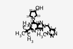 Cn1nncc1Cn1nc2nc(C(C)(C)C)nc(N3CC[C@H](O)C3)c2n1